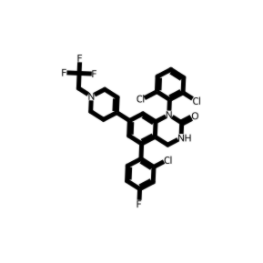 O=C1NCc2c(-c3ccc(F)cc3Cl)cc(C3=CCN(CC(F)(F)F)CC3)cc2N1c1c(Cl)cccc1Cl